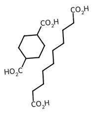 O=C(O)C1CCC(C(=O)O)CC1.O=C(O)CCCCCCCCC(=O)O